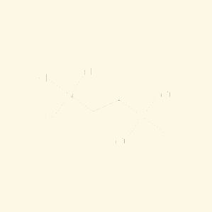 CCC[Si](Cl)(CCC)CC[Si](Cl)(CCC)CCC